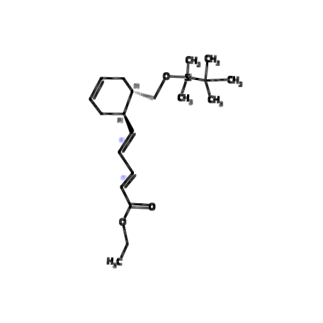 CCOC(=O)/C=C/C=C/[C@H]1CC=CC[C@@H]1CO[Si](C)(C)C(C)(C)C